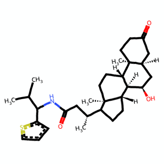 CC(C)C(NC(=O)C[C@@H](C)C1CC[C@H]2[C@@H]3[C@H](O)C[C@@H]4CC(=O)CC[C@]4(C)[C@H]3CC[C@]12C)c1cccs1